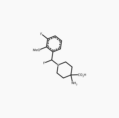 COc1c(F)cccc1C(F)N1CCC(N)(C(=O)O)CC1